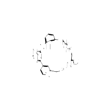 O=C1NCCCc2cc(ccn2)-c2ncnc(n2)Nc2cccc(c2)CN2CCC1CC2